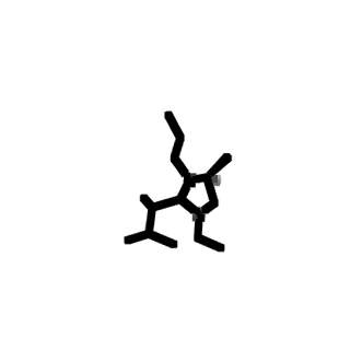 CCCN1C(C(C)C(C)C)N(CC)C[C@@H]1C